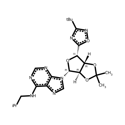 CC(C)CNc1ncnc2c1ncn2[C@@H]1O[C@H](c2nc(C(C)(C)C)no2)[C@@H]2OC(C)(C)O[C@H]21